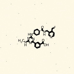 CNc1nc(N[C@H]2CC[C@@H](C(=O)NCc3cnccc3CF)CC2)nc(-c2cccc(C(=O)O)c2)n1